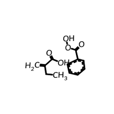 C=C(CC)C(=O)O.O=C(OO)c1ccccc1